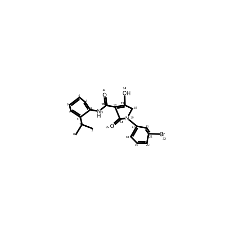 CC(C)c1ccccc1NC(=O)C1=C(O)CN(c2cccc(Br)c2)C1=O